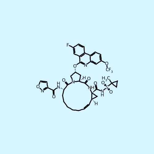 CC1(S(=O)(=O)NC(=O)[C@@]23C[C@H]2/C=C\CCCCC[C@H](NC(=O)c2ccon2)C(=O)N2C[C@H](Oc4nc5cc(OC(F)(F)F)ccc5c5ccc(F)cc45)C[C@H]2C(=O)N3)CC1